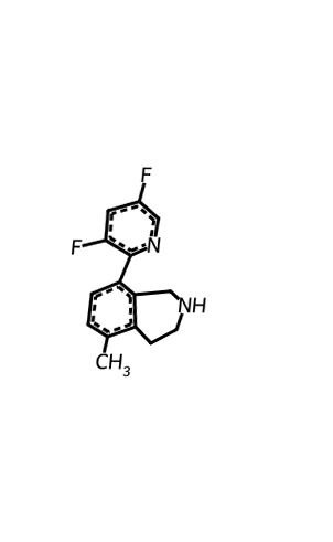 Cc1ccc(-c2ncc(F)cc2F)c2c1CCNC2